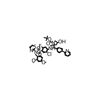 COc1ccc(CN(c2nccs2)S(=O)(=O)c2cc(Cl)c(NCC3(Cc4ccc(-c5ccccn5)cc4)CC(O)CN3C(=O)OC(C)(C)C)cc2F)c(OC)c1